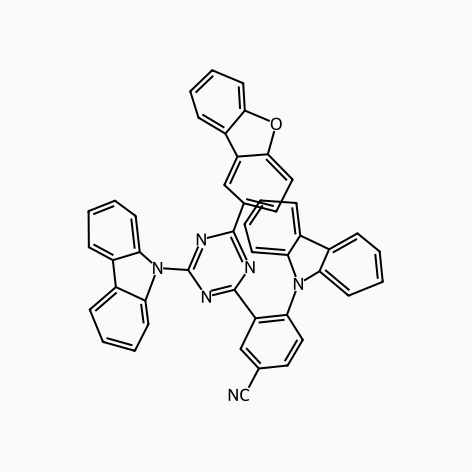 N#Cc1ccc(-n2c3ccccc3c3ccccc32)c(-c2nc(-c3ccc4oc5ccccc5c4c3)nc(-n3c4ccccc4c4ccccc43)n2)c1